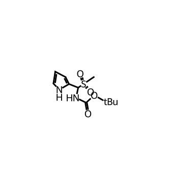 CC(C)(C)OC(=O)NC(c1ccc[nH]1)S(C)(=O)=O